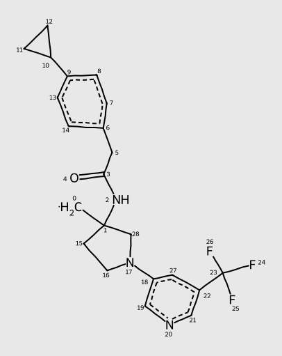 [CH2]C1(NC(=O)Cc2ccc(C3CC3)cc2)CCN(c2cncc(C(F)(F)F)c2)C1